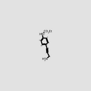 CCOC(=O)Nc1ccc(C#CCN)cc1